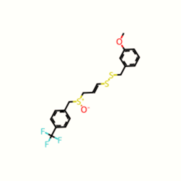 COc1cccc(CSSC=CC[S+]([O-])Cc2ccc(C(F)(F)F)cc2)c1